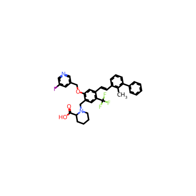 Cc1c(C=Cc2cc(OCc3cncc(I)c3)c(CN3CCCCC3C(=O)O)cc2C(F)(F)F)cccc1-c1ccccc1